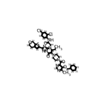 CCc1c(N2CCN(C(=O)c3ncnc(C)c3OCc3ccccc3)CC2)c(=O)n2nc(-c3cc4c(s3)COCC4)nc2n1CC(=O)Nc1ccc(Cl)cc1Cl